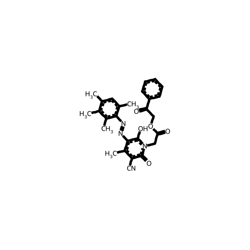 Cc1cc(C)c(N=Nc2c(C)c(C#N)c(=O)n(CC(=O)OCC(=O)c3ccccc3)c2O)c(C)c1C